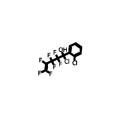 OC(Cl)(c1ccccc1Cl)C(F)(F)C(F)(F)C(F)=C(F)F